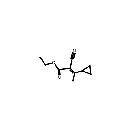 CCOC(=O)/C(C#N)=C(\C)C1CC1